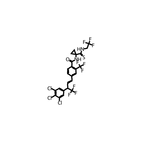 O=C(NC1(C(=S)NCC(F)(F)F)CC1)c1ccc(C=CC(c2cc(Cl)c(Cl)c(Cl)c2)C(F)(F)F)cc1C(F)(F)F